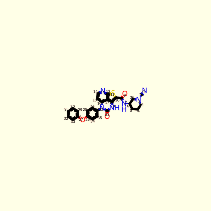 N#CN1CCC[C@@H](NC(=O)c2sc3nccc4c3c2NC(=O)N4c2ccc(Oc3ccccc3)cc2)C1